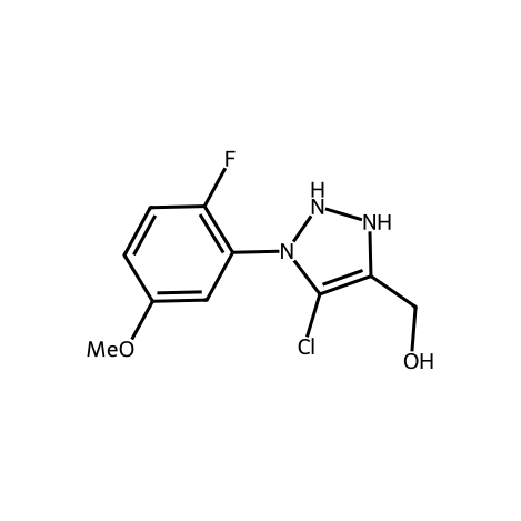 COc1ccc(F)c(N2NNC(CO)=C2Cl)c1